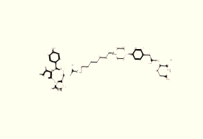 Cc1sc2c(c1C)C(c1ccc(Cl)cc1)=N[C@@H](CC(=O)NCCCCCCCN1CCN(c3ccc(CC(=O)NC4CCC(=O)NC4=O)cc3)CC1)c1nnc(C)n1-2